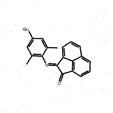 Cc1cc(C(C)(C)C)cc(C)c1N=C1C(=O)c2cccc3cccc1c23